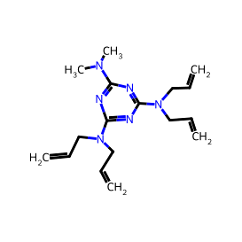 C=CCN(CC=C)c1nc(N(C)C)nc(N(CC=C)CC=C)n1